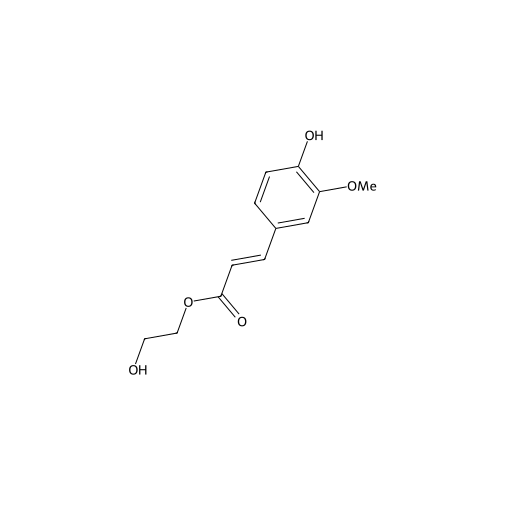 COc1cc(/C=C/C(=O)OCCO)ccc1O